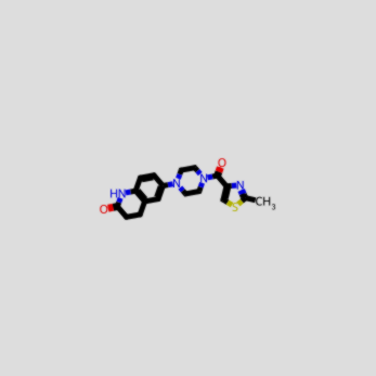 Cc1nc(C(=O)N2CCN(c3ccc4c(c3)CCC(=O)N4)CC2)cs1